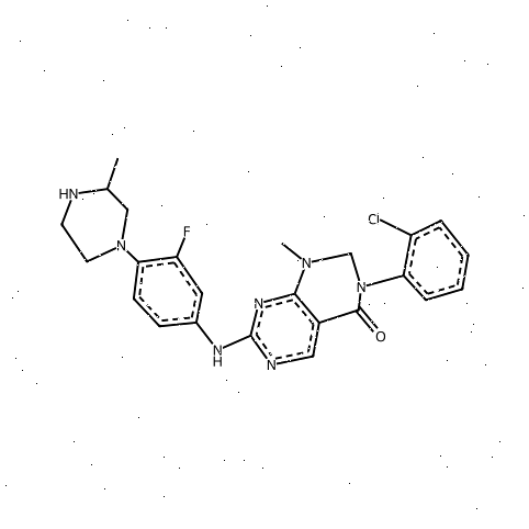 CC1CN(c2ccc(Nc3ncc4c(n3)N(C)CN(c3ccccc3Cl)C4=O)cc2F)CCN1